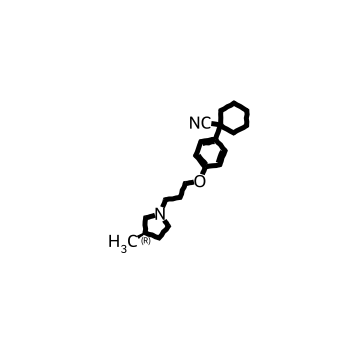 C[C@@H]1CCN(CCCOc2ccc(C3(C#N)CCCCC3)cc2)C1